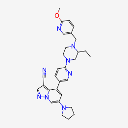 CCC1CN(c2ccc(-c3cc(N4CCCC4)cn4ncc(C#N)c34)cn2)CCN1Cc1ccc(OC)nc1